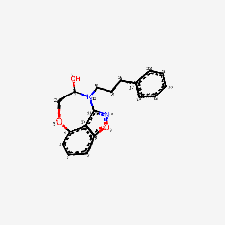 OC1COc2cccc3onc(c23)N1CCCc1ccccc1